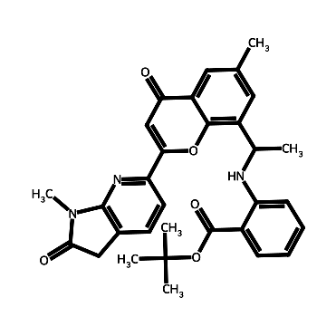 Cc1cc(C(C)Nc2ccccc2C(=O)OC(C)(C)C)c2oc(-c3ccc4c(n3)N(C)C(=O)C4)cc(=O)c2c1